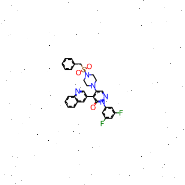 O=c1c(-c2cnc3ccccc3c2)c(N2CCN(S(=O)(=O)Cc3ccccc3)CC2)cnn1-c1cc(F)cc(F)c1